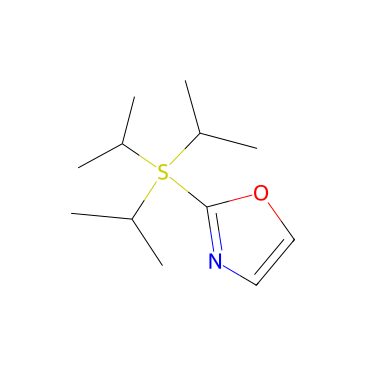 CC(C)S(c1ncco1)(C(C)C)C(C)C